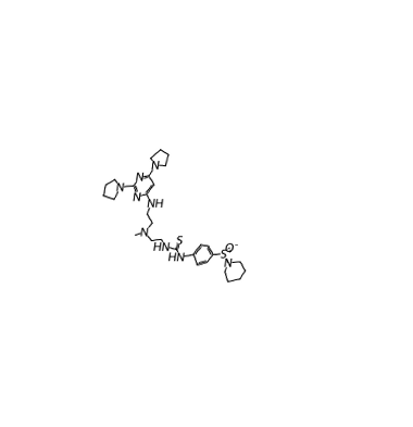 CN(CCNC(=S)Nc1ccc([S+]([O-])N2CCCCC2)cc1)CCNc1cc(N2CCCC2)nc(N2CCCC2)n1